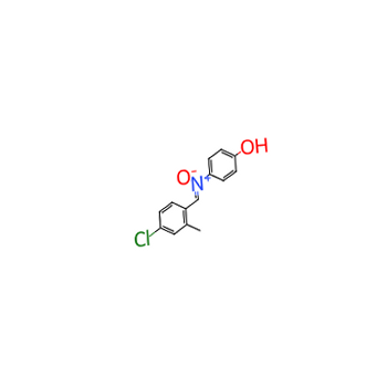 Cc1cc(Cl)ccc1C=[N+]([O-])c1ccc(O)cc1